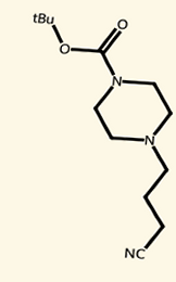 CC(C)(C)OC(=O)N1CCN(CCCC#N)CC1